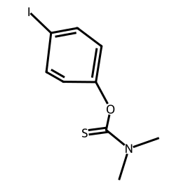 CN(C)C(=S)Oc1ccc(I)cc1